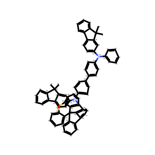 CC1(C)c2ccccc2-c2ccc(N(c3ccccc3)c3ccc(-c4ccc(N(c5ccc6c(c5)C(C)(C)c5ccccc5-6)c5cccc6c5C5(c7ccccc7Sc7ccccc75)c5ccccc5-6)cc4)cc3)cc21